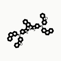 c1ccc2c(c1)ccc1ccc(N(c3ccc4c(c3)sc3c4c4cc5ccccc5c5c6c7ccc(N(c8ccc9ccc%10ccccc%10c9c8)c8ccc9oc%10ccccc%10c9c8)cc7sc6n3c45)c3ccc4oc5ccccc5c4c3)cc12